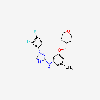 Cc1cc(Nc2ncn(-c3ccc(F)c(F)c3)n2)cc(OCC2CCOCC2)c1